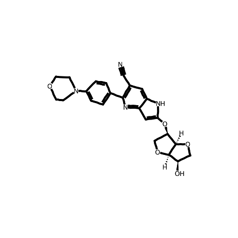 N#Cc1cc2[nH]c(O[C@@H]3CO[C@H]4[C@@H]3OC[C@H]4O)cc2nc1-c1ccc(N2CCOCC2)cc1